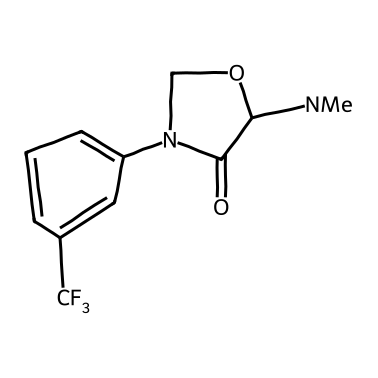 CNC1OCN(c2cccc(C(F)(F)F)c2)C1=O